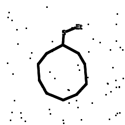 CCSC1CCCCCCCCC1